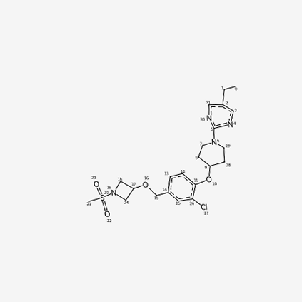 CCc1cnc(N2CCC(Oc3ccc(COC4CN(S(C)(=O)=O)C4)cc3Cl)CC2)nc1